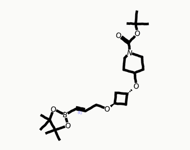 CC(C)(C)OC(=O)N1CCC(O[C@H]2C[C@H](OC/C=C/B3OC(C)(C)C(C)(C)O3)C2)CC1